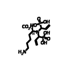 C=CC(N(C(C=C)P(=O)(O)O)[C@@H](CCCCN)C(=O)O)P(=O)(O)O